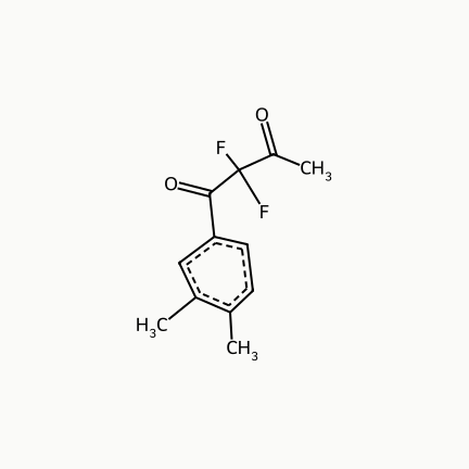 CC(=O)C(F)(F)C(=O)c1ccc(C)c(C)c1